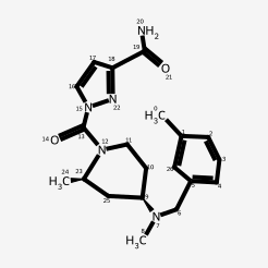 Cc1cccc(CN(C)[C@@H]2CCN(C(=O)n3ccc(C(N)=O)n3)[C@H](C)C2)c1